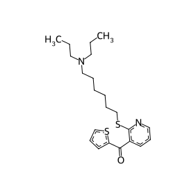 CCCN(CCC)CCCCCCSc1ncccc1C(=O)c1cccs1